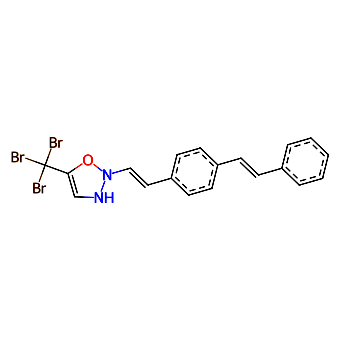 BrC(Br)(Br)C1=CNN(/C=C/c2ccc(/C=C/c3ccccc3)cc2)O1